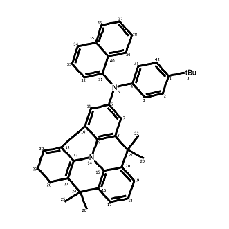 CC(C)(C)c1ccc(N(c2cc3c4c(c2)c2c5n4-c4c(cccc4C3(C)C)C(C)(C)C=5CCC=2)c2cccc3ccccc23)cc1